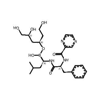 CC(C)C[C@H](NC(=O)[C@H](Cc1ccccc1)NC(=O)c1cnccn1)B(O)O[C@H](CCO)C[C@H](O)CO